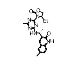 CCC1COC(=O)N1c1nc(C)nc(N[C@H](C)c2cc3cc(C)ccc3[nH]c2=O)n1